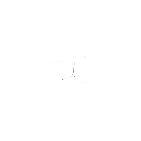 CN1C2CCC(C2)N1C